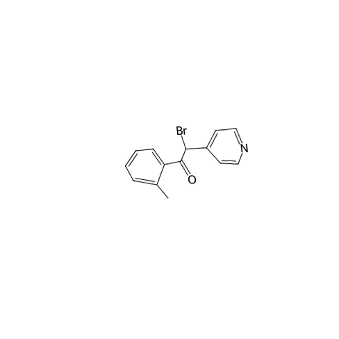 Cc1ccccc1C(=O)C(Br)c1ccncc1